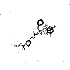 CC(C)(C)OC(=O)N1CC[C@H](COC(=O)N[C@@H](Cc2ccccc2)B2O[C@@H]3C[C@@H]4C[C@@H](C4(C)C)[C@]3(C)O2)C1